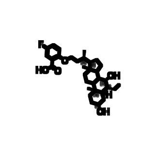 CC[C@H]1[C@@H](O)C2C3CC[C@H]([C@H](C)CCOc4ccc(F)cc4C(=O)O)[C@@]3(C)CCC2[C@@]2(C)CC[C@@H](O)C[C@@H]12